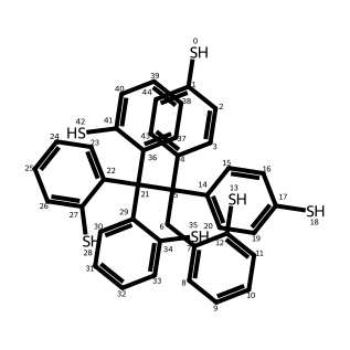 Sc1ccc(C(Cc2ccccc2S)(c2ccc(S)cc2)C(c2ccccc2S)(c2ccccc2S)c2ccccc2S)cc1